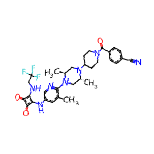 Cc1cc(Nc2c(NCC(F)(F)F)c(=O)c2=O)cnc1N1C[C@@H](C)N(C2CCN(C(=O)c3ccc(C#N)cc3)CC2)C[C@@H]1C